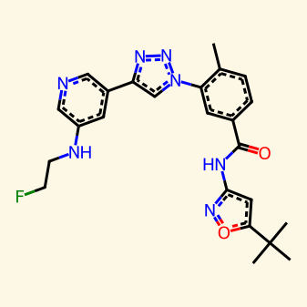 Cc1ccc(C(=O)Nc2cc(C(C)(C)C)on2)cc1-n1cc(-c2cncc(NCCF)c2)nn1